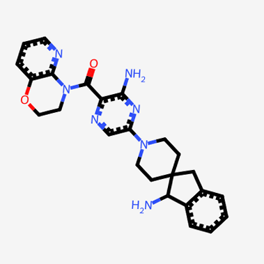 Nc1nc(N2CCC3(CC2)Cc2ccccc2C3N)cnc1C(=O)N1CCOc2cccnc21